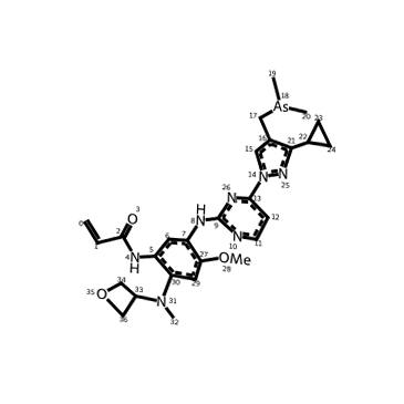 C=CC(=O)Nc1cc(Nc2nccc(-n3cc(C[As](C)C)c(C4CC4)n3)n2)c(OC)cc1N(C)C1COC1